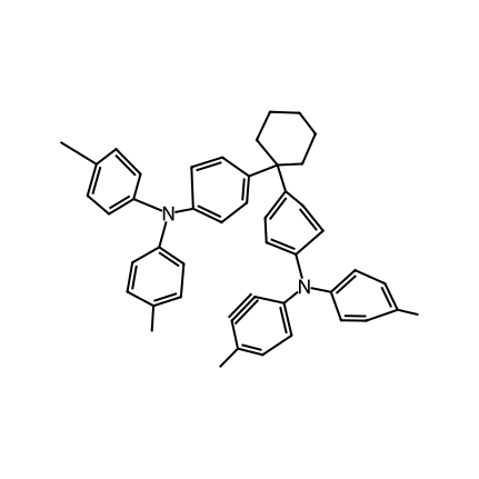 Cc1c#cc(N(c2ccc(C)cc2)c2ccc(C3(c4ccc(N(c5ccc(C)cc5)c5ccc(C)cc5)cc4)CCCCC3)cc2)cc1